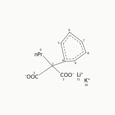 CCCC(C(=O)[O-])(C(=O)[O-])c1ccccc1.[K+].[Li+]